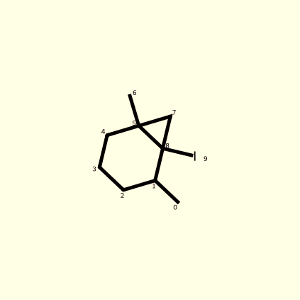 CC1CCCC2(C)CC12I